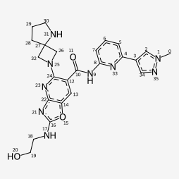 Cn1cc(-c2cccc(NC(=O)c3cc4oc(NCCO)nc4nc3N3CC4(CCCN4)C3)n2)cn1